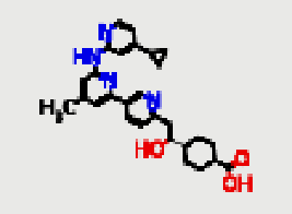 Cc1cc(Nc2cc(C3CC3)ccn2)nc(-c2ccc(CC(O)[C@H]3CC[C@H](C(=O)O)CC3)nc2)c1